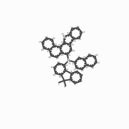 CC1(C)c2ccccc2-c2c(N(c3ccc4ccccc4c3)c3cc4c5ccccc5sc4c4c3ccc3ccccc34)cccc21